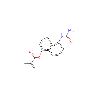 C=C(C)C(=O)Oc1cccc2c(NC(N)=O)cccc12